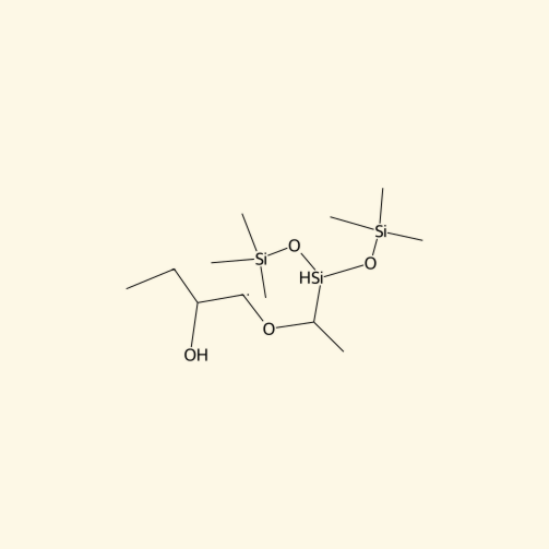 CCC(O)[CH]OC(C)[SiH](O[Si](C)(C)C)O[Si](C)(C)C